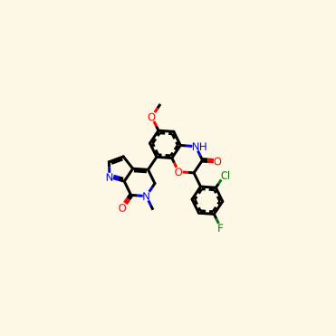 COc1cc2c(c(C3=C4C=CN=C4C(=O)N(C)C3)c1)OC(c1ccc(F)cc1Cl)C(=O)N2